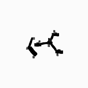 C=CC.CCC[CH2][SnH]([CH2]CCC)[CH2]CCC